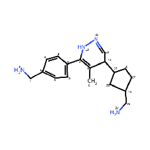 CC1=C(c2ccc(CN)cc2)NN=CC1C1CCC(CN)C1